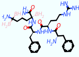 BC(B)(N)CCC[C@](B)(NC(=O)[C@H](Cc1ccccc1)NC(=O)[C@@H](CCCNC(=N)N)NC(=O)[C@@H](N)Cc1ccccc1)C(N)=O